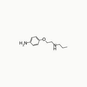 CCCNCCOc1ccc(N)cc1